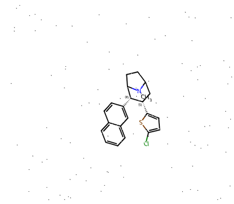 CN1C2CCC1[C@@H](c1ccc3ccccc3c1)[C@@H](c1ccc(Cl)s1)C2